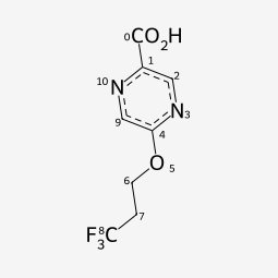 O=C(O)c1cnc(OCCC(F)(F)F)cn1